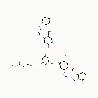 COc1cc2c(cc1OCc1cc(COc3cc4c(cc3C)C(=O)N3c5ccccc5C[C@H]3C=N4)cc(OCCCCC(=O)C(C)C)c1)N=C[C@@H]1Cc3ccccc3N1C2=O